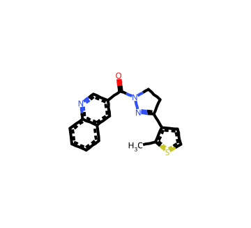 Cc1sccc1C1=NN(C(=O)c2cnc3ccccc3c2)CC1